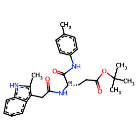 Cc1ccc(NC(=O)[C@H](CCC(=O)OC(C)(C)C)NC(=O)Cc2c(C)[nH]c3ccccc23)cc1